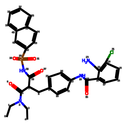 CCN(CC)C(=O)C(Cc1ccc(NC(=O)c2cccc(Cl)c2N)cc1)C(=O)NS(=O)(=O)c1ccc2ccccc2c1